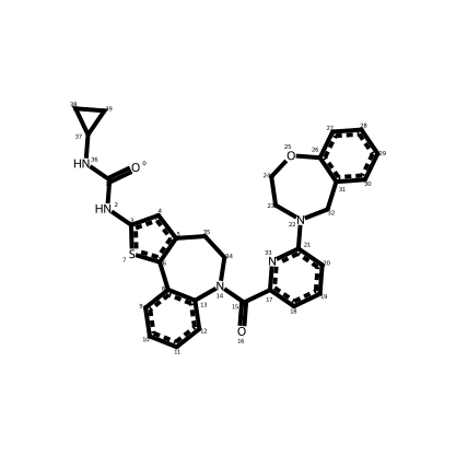 O=C(Nc1cc2c(s1)-c1ccccc1N(C(=O)c1cccc(N3CCOc4ccccc4C3)n1)CC2)NC1CC1